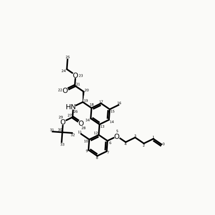 C=CCCCOc1cccc(C)c1-c1cc(C)cc([C@H](CC(=O)OCC)NC(=O)OC(C)(C)C)c1